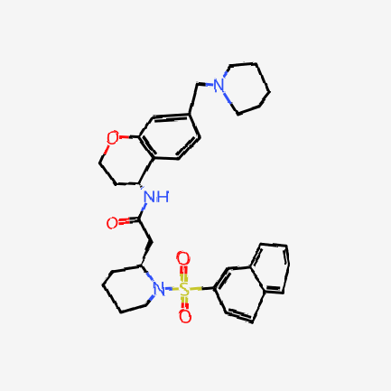 O=C(C[C@@H]1CCCCN1S(=O)(=O)c1ccc2ccccc2c1)N[C@@H]1CCOc2cc(CN3CCCCC3)ccc21